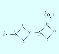 CC(C)N1CC(N2CCC2C(=O)O)C1